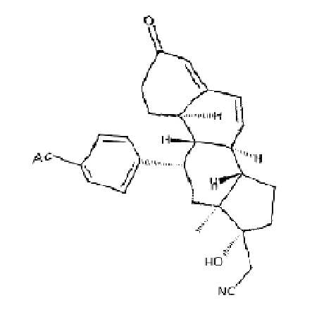 CC(=O)c1ccc([C@H]2C[C@@]3(C)[C@@H](CC[C@@]3(O)CC#N)[C@@H]3C=CC4=CC(=O)CC[C@@H]4[C@H]32)cc1